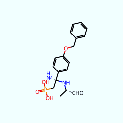 C[C@@H](C=O)N[C@@](N)(CP(=O)(O)O)c1ccc(OCc2ccccc2)cc1